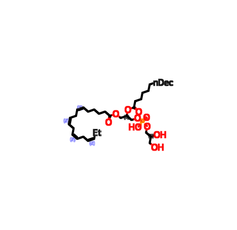 CC/C=C\C/C=C\C/C=C\C/C=C\CCCCC(=O)OC[C@H](COP(=O)(O)OC[C@@H](O)CO)OC(=O)CCCCCCCCCCCCCCC